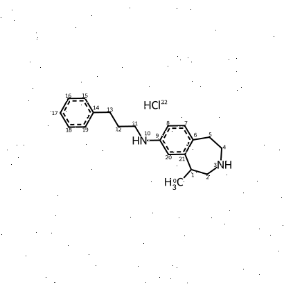 CC1CNCCc2ccc(NCCCc3ccccc3)cc21.Cl